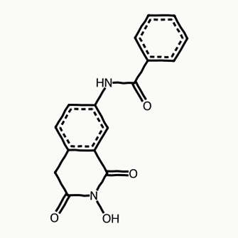 O=C(Nc1ccc2c(c1)C(=O)N(O)C(=O)C2)c1ccccc1